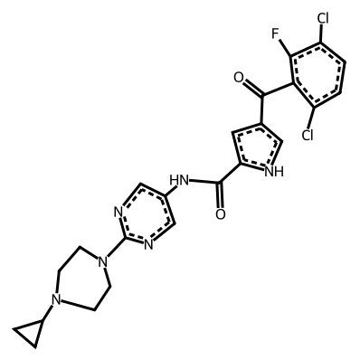 O=C(Nc1cnc(N2CCN(C3CC3)CC2)nc1)c1cc(C(=O)c2c(Cl)ccc(Cl)c2F)c[nH]1